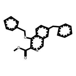 COC(=O)c1ncc2cc(Cc3ccccc3)ccc2c1OCc1ccccc1